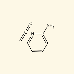 C=C=O.Nc1ccccn1